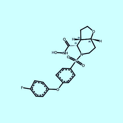 O=C(NO)[C@@H]1[C@@H]2CCO[C@@H]2CCN1S(=O)(=O)c1ccc(Oc2ccc(F)cc2)cc1